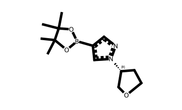 CC1(C)OB(c2cnn([C@@H]3CCOC3)c2)OC1(C)C